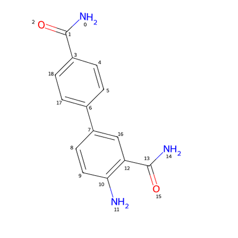 NC(=O)c1ccc(-c2ccc(N)c(C(N)=O)c2)cc1